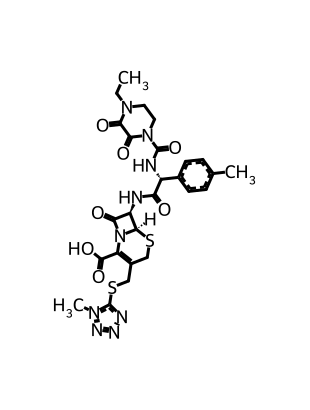 CCN1CCN(C(=O)N[C@@H](C(=O)N[C@@H]2C(=O)N3C(C(=O)O)=C(CSc4nnnn4C)CS[C@H]23)c2ccc(C)cc2)C(=O)C1=O